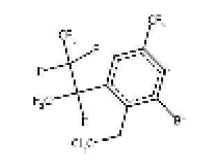 FC(F)(F)c1[c]c(Br)c(CC(Cl)(Cl)Cl)c(C(F)(C(F)(F)F)C(F)(F)C(F)(F)F)c1